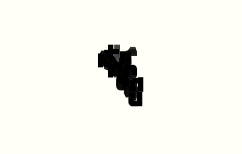 O=C(N[C@H]1CCN(CC2CC2)C[C@@H]1C(=O)NC1(c2ncccn2)CC1)c1cc(-c2ccc(Cl)cc2Cl)on1